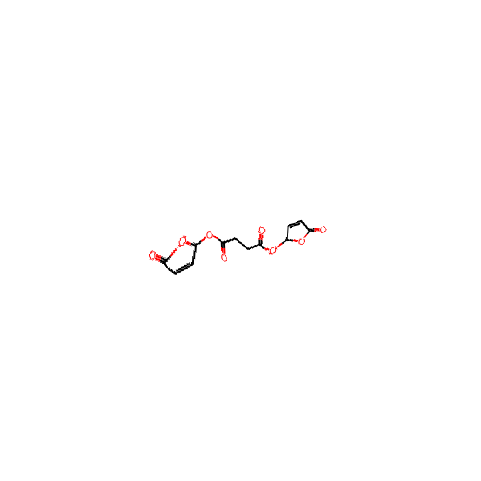 O=C1C=CC(OC(=O)CCC(=O)OC2C=CC(=O)O2)O1